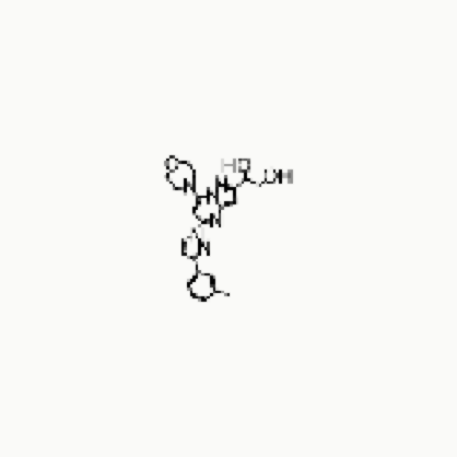 Cc1cccc(-c2ccn(-c3cc(N4CCOCC4)n4nc(C(O)CO)cc4n3)n2)c1